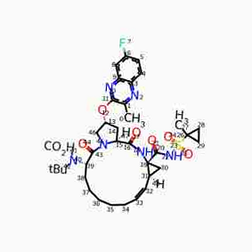 Cc1nc2ccc(F)cc2nc1O[C@@H]1C[C@H]2C(=O)N[C@]3(C(=O)NS(=O)(=O)C4(C)CC4)C[C@H]3C=CCCCCC[C@H](N(C(=O)O)C(C)(C)C)C(=O)N2C1